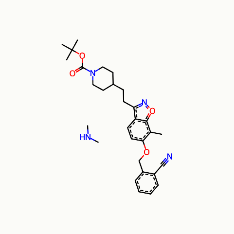 CNC.Cc1c(OCc2ccccc2C#N)ccc2c(CCC3CCN(C(=O)OC(C)(C)C)CC3)noc12